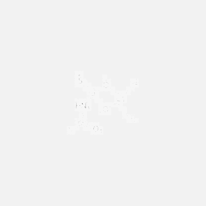 CCOP(=S)(NC(C)=O)OCC